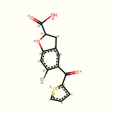 O=C(c1cccs1)c1cc2c(cc1Cl)OC(C(=O)O)C2